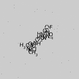 Cc1nn(C)c(Cl)c1S(=O)(=O)CNc1ccc(CC(=O)Nc2c(N)n(CC3CC3)c(=O)n(Cc3ccccc3F)c2=O)cc1